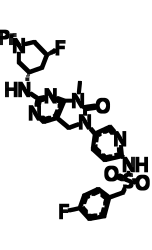 CC(C)N1C[C@@H](F)C[C@H](Nc2ncc3c(n2)N(C)C(=O)N(c2ccc(NS(=O)(=O)Cc4ccc(F)cc4)nc2)C3)C1